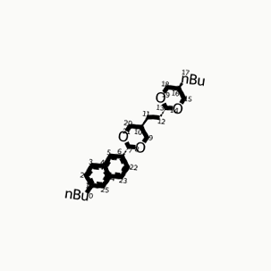 CCCCc1ccc2cc([C@H]3OC[C@H](CC[C@H]4OC[C@H](CCCC)CO4)CO3)ccc2c1